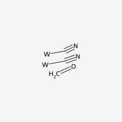 C=O.N#[C][W].N#[C][W]